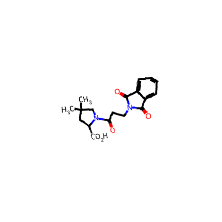 CC1(C)CC(C(=O)O)N(C(=O)CCN2C(=O)c3ccccc3C2=O)C1